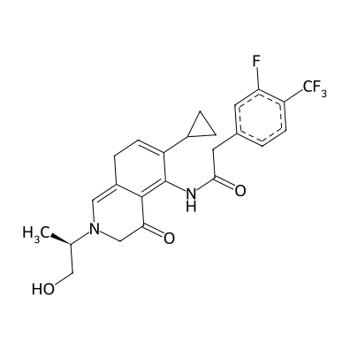 C[C@H](CO)N1C=C2CC=C(C3CC3)C(NC(=O)Cc3ccc(C(F)(F)F)c(F)c3)=C2C(=O)C1